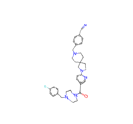 N#Cc1ccc(CN2CCC3(CC2)CCN(c2ccc(C(=O)N4CCN(Cc5ccc(F)cc5)CC4)cn2)C3)cc1